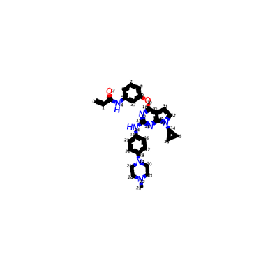 C=CC(=O)Nc1cccc(Oc2nc(Nc3ccc(N4CCN(C)CC4)cc3)nc3c2ccn3C2CC2)c1